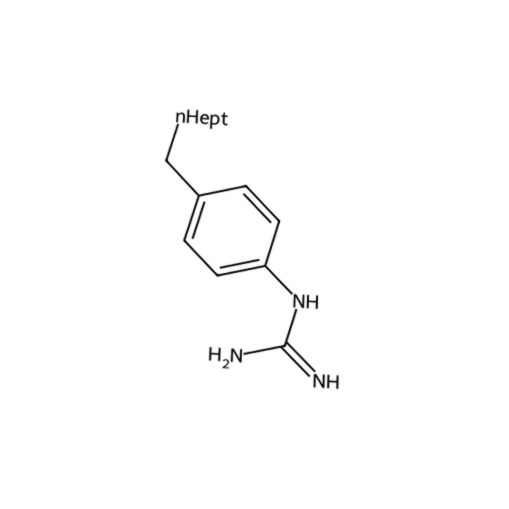 CCCCCCCCc1ccc(NC(=N)N)cc1